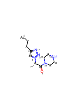 CC(=O)CCc1cn([C@@H](C)C(=O)N2CCNCC2)nn1